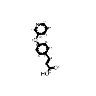 O=C(O)C=Cc1ccc(Oc2cccnc2)cc1